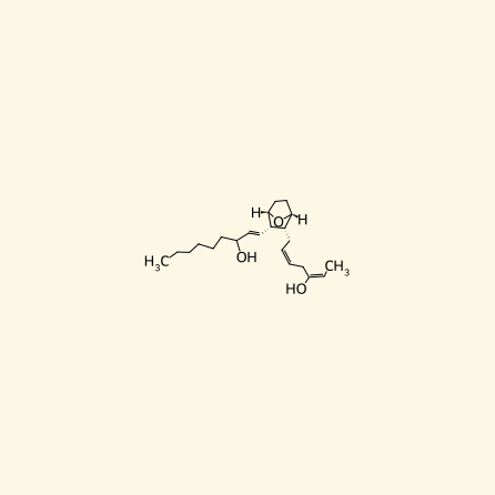 C/C=C(/O)C/C=C\C[C@@H]1[C@H](/C=C/C(O)CCCCCC)[C@@H]2CC[C@H]1O2